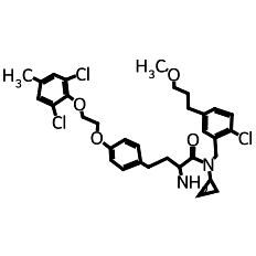 COCCCc1ccc(Cl)c(CN(C(=O)C(N)CCc2ccc(OCCOc3c(Cl)cc(C)cc3Cl)cc2)C2CC2)c1